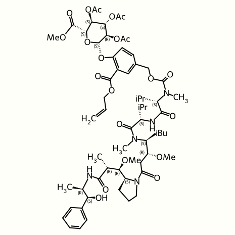 C=CCOC(=O)c1cc(COC(=O)N(C)[C@H](C(=O)N[C@H](C(=O)N(C)[C@@H](C(C)CC)[C@@H](CC(=O)N2CCC[C@H]2[C@H](OC)[C@@H](C)C(=O)N[C@H](C)[C@@H](O)c2ccccc2)OC)C(C)C)C(C)C)ccc1O[C@@H]1O[C@H](C(=O)OC)[C@@H](OC(C)=O)[C@H](OC(C)=O)[C@H]1OC(C)=O